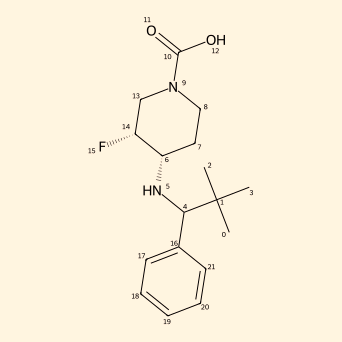 CC(C)(C)C(N[C@H]1CCN(C(=O)O)C[C@H]1F)c1ccccc1